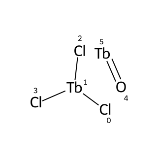 [Cl][Tb]([Cl])[Cl].[O]=[Tb]